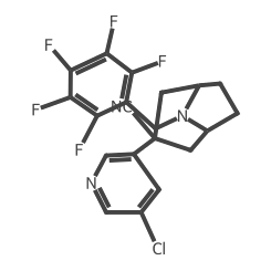 N#CC1(c2cncc(Cl)c2)CC2CCC(C1)N2Cc1c(F)c(F)c(F)c(F)c1F